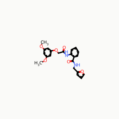 COc1cc(OC)cc(OCC(=O)Nc2ccccc2C(=O)NCc2ccco2)c1